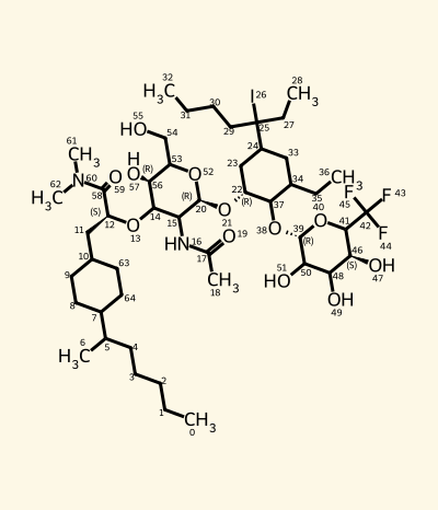 CCCCCC(C)C1CCC(C[C@H](OC2C(NC(C)=O)[C@H](O[C@@H]3CC(C(I)(CC)CCCC)CC(CC)C3O[C@@H]3OC(C(F)(F)F)[C@@H](O)C(O)C3O)OC(CO)[C@@H]2O)C(=O)N(C)C)CC1